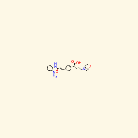 Nc1ccccc1NC(=O)/C=C/c1ccc(C(CCCN2CC3CC2CO3)C(=O)O)cc1